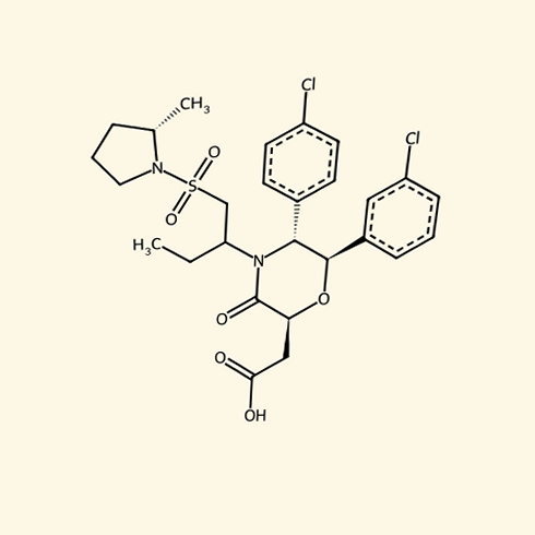 CCC(CS(=O)(=O)N1CCC[C@@H]1C)N1C(=O)[C@H](CC(=O)O)O[C@H](c2cccc(Cl)c2)[C@H]1c1ccc(Cl)cc1